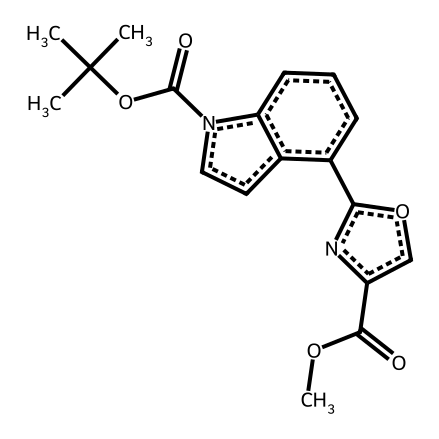 COC(=O)c1coc(-c2cccc3c2ccn3C(=O)OC(C)(C)C)n1